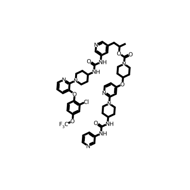 CC(Cc1cncc(NC(=O)NC2CCN(c3ncccc3Oc3ccc(OC(F)(F)F)cc3Cl)CC2)c1)OC(=O)N1CCC(Oc2ccnc(N3CCC(NC(=O)Nc4cccnc4)CC3)c2)CC1